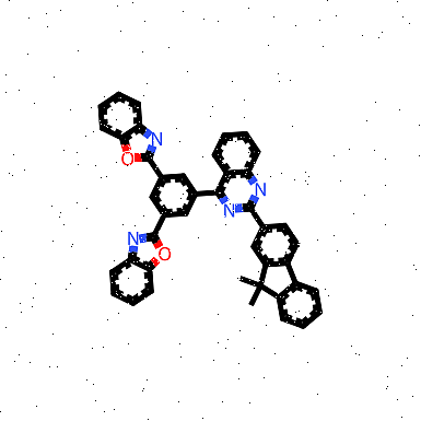 CC1(C)c2ccccc2-c2ccc(-c3nc(-c4cc(-c5nc6ccccc6o5)cc(-c5nc6ccccc6o5)c4)c4ccccc4n3)cc21